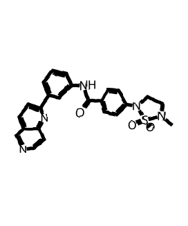 CN1CCN(c2ccc(C(=O)Nc3cccc(-c4ccc5cnccc5n4)c3)cc2)S1(=O)=O